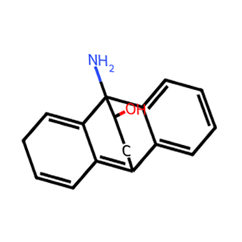 NC12C3=CCC=CC3=C(CC1O)c1ccccc12